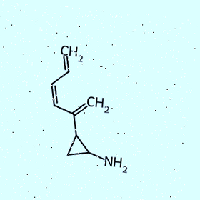 C=C/C=C\C(=C)C1CC1N